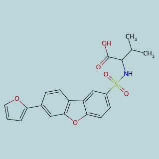 CC(C)C(NS(=O)(=O)c1ccc2oc3cc(-c4ccco4)ccc3c2c1)C(=O)O